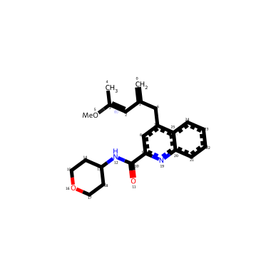 C=C(/C=C(\C)OC)Cc1cc(C(=O)NC2CCOCC2)nc2ccccc12